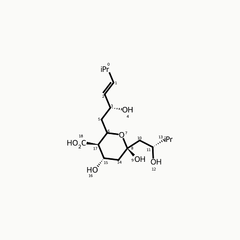 CC(C)/C=C/[C@H](O)CC1O[C@](O)(C[C@@H](O)C(C)C)C[C@H](O)[C@H]1C(=O)O